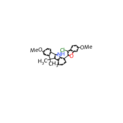 COc1ccc2c(c1)C(C)(C)c1c-2[nH]c2c(-c3oc4cc(OC)ccc4c3Cl)cccc12